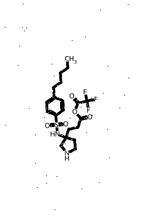 CCCCCc1ccc(S(=O)(=O)NC2(CCC(=O)OC(=O)C(F)(F)F)CCNC2)cc1